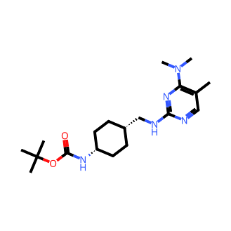 Cc1cnc(NC[C@H]2CC[C@@H](NC(=O)OC(C)(C)C)CC2)nc1N(C)C